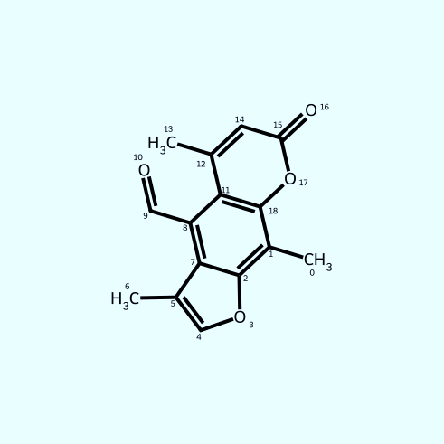 Cc1c2occ(C)c2c(C=O)c2c(C)cc(=O)oc12